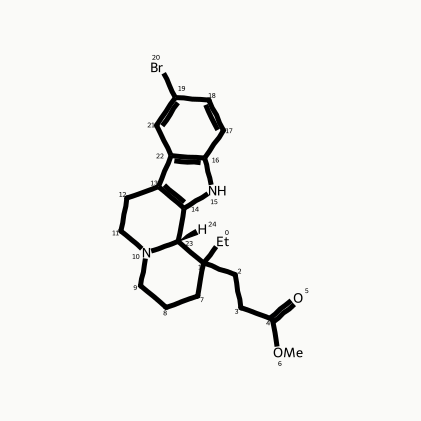 CCC1(CCC(=O)OC)CCCN2CCc3c([nH]c4ccc(Br)cc34)[C@@H]21